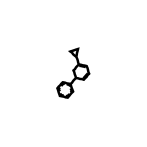 C1=CC(c2ccccc2)CC(C2CC2)=C1